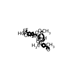 CC(=O)N1CC[C@H]2CC[C@@H](C(=O)N(C)c3ccc(C4(C)COC4)cc3)N2C(=O)[C@@H](NC(=O)c2cc3cc(C(F)(F)P(O)O)ccc3s2)C1